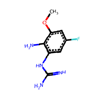 COc1cc(F)cc(NC(=N)N)c1N